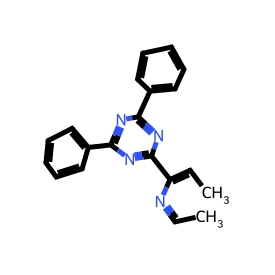 C/C=N\C(=C/C)c1nc(-c2ccccc2)nc(-c2ccccc2)n1